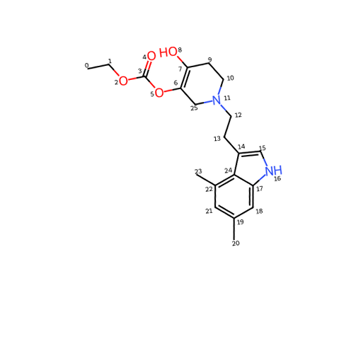 CCOC(=O)OC1=C(O)CCN(CCc2c[nH]c3cc(C)cc(C)c23)C1